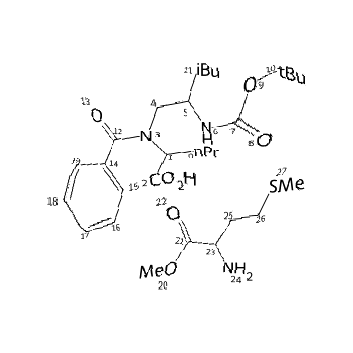 CCCC(C(=O)O)N(CC(NC(=O)OC(C)(C)C)C(C)CC)C(=O)c1ccccc1.COC(=O)C(N)CCSC